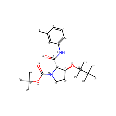 Cc1cccc(NC(=O)[C@@H]2[C@@H](O[Si](C)(C)C(C)(C)C)CCN2C(=O)OC(C)(C)C)c1